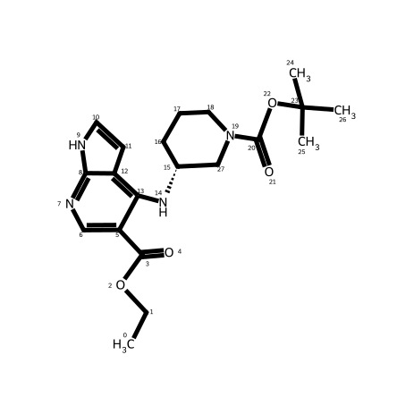 CCOC(=O)c1cnc2[nH]ccc2c1N[C@@H]1CCCN(C(=O)OC(C)(C)C)C1